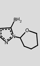 Bc1ccnn1C1CCCCO1